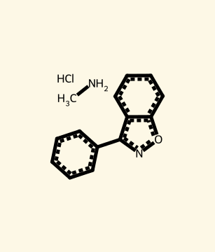 CN.Cl.c1ccc(-c2noc3ccccc23)cc1